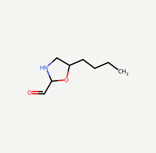 CCCCC1CNC(C=O)O1